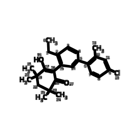 CCc1ccc(-c2ccc(Cl)cc2C)cc1C1=C(O)C(C)(C)CC(C)(C)C1=O